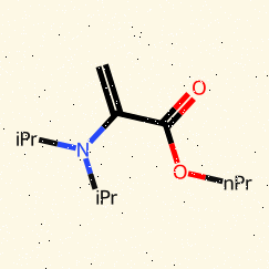 C=C(C(=O)OCCC)N(C(C)C)C(C)C